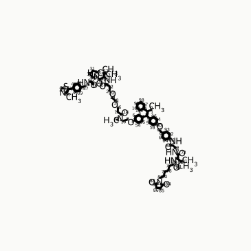 CC/C(=C(/c1ccc(OCCN(C)C(=O)CCOCCOCCC(=O)NC(C(=O)N2CCC[C@H]2C(=O)NCc2ccc(-c3scnc3C)cc2)C(C)(C)C)cc1)c1ccc(OCc2ccc(NC(=O)CNC(=O)C(NC(=O)CCCCCN3C(=O)C=CC3=O)C(C)C)cc2)cc1)c1ccccc1